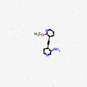 COc1ncccc1C#Cc1ccncc1N